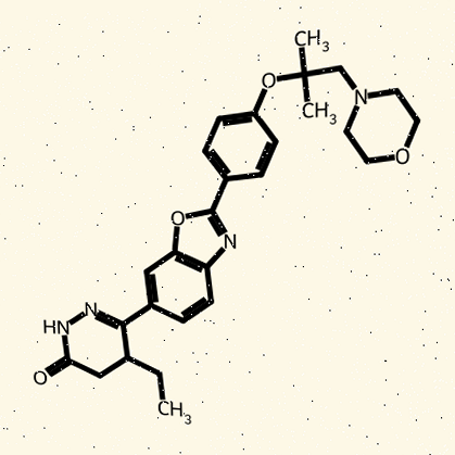 CCC1CC(=O)NN=C1c1ccc2nc(-c3ccc(OC(C)(C)CN4CCOCC4)cc3)oc2c1